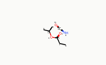 CCC(=O)OC(C)C.N=C=O